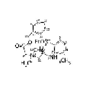 CCOC(=O)c1cccc(C)c1NC(=O)C[N+](C)(C)CC(=O)OCc1ccccc1